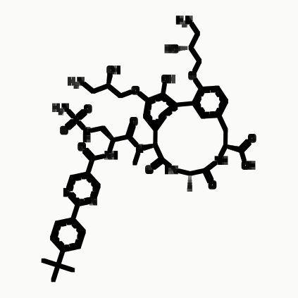 C[C@@H]1NC(=O)[C@@H](N(C)C(=O)[C@H](CNS(N)(=O)=O)NC(=O)c2cnc(-c3ccc(C(C)(C)C)cc3)nc2)c2cc(OC[C@H](O)CN)c(O)c(c2)-c2cc(ccc2OC[C@H](O)CN)C[C@@H](C(=O)O)NC1=O